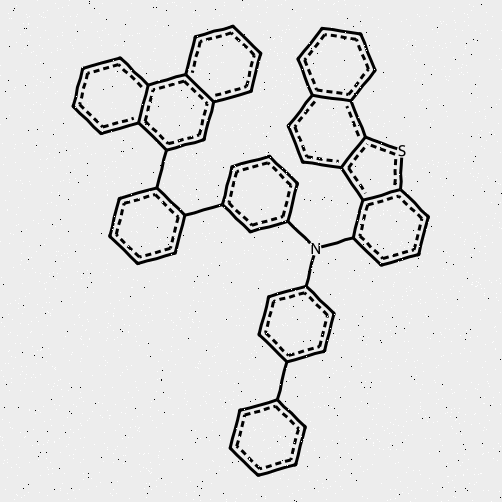 c1ccc(-c2ccc(N(c3cccc(-c4ccccc4-c4cc5ccccc5c5ccccc45)c3)c3cccc4sc5c6ccccc6ccc5c34)cc2)cc1